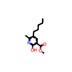 CCCCCc1cc(C(=O)OC)c(O)nc1C